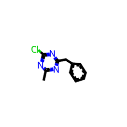 Cc1nc(Cl)nc(Cc2ccccc2)n1